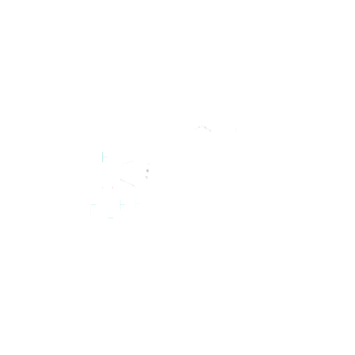 CC/C=C/[C@H]1CC[C@H](c2cc(F)c(OC(F)(F)F)c(F)c2)CC1